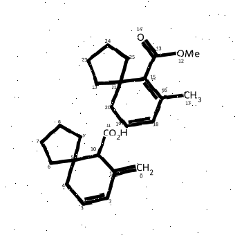 C=C1C=CCC2(CCCC2)C1C(=O)O.COC(=O)C1=C(C)C=CCC12CCCC2